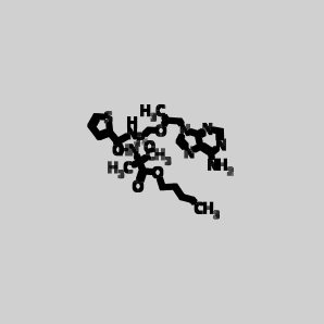 CCCCCOC(=O)C(C)(C)NP(=O)(COC(C)Cn1cnc2c(N)ncnc21)NC(=O)c1cccs1